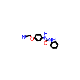 N#CCOc1ccc(NC(=O)Nc2ccccc2)cc1